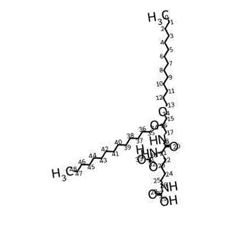 CCCCCCCCCCCCCCOCC(CNC(=O)[C@@H](CCCCNC(=O)O)NC(=O)O)OCCCCCCCCCCCCCC